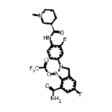 CN1CCC[C@@H](C(=O)Nc2ccc(N3Cc4cc(F)cc(C(N)=O)c4N3OC(=O)C(F)(F)F)cc2F)C1